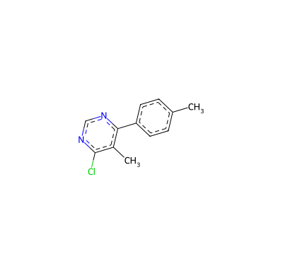 Cc1ccc(-c2ncnc(Cl)c2C)cc1